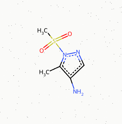 Cc1c(N)cnn1S(C)(=O)=O